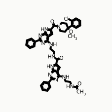 COC1(c2ccccc2Cl)CCN(C(=O)c2cc3c(NCCNC(=O)c4cc5c(NCCNC(C)=O)nc(-c6ccccc6)nc5[nH]4)nc(-c4ccccc4)nc3[nH]2)CC1